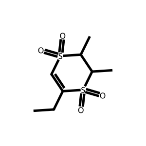 CCC1=CS(=O)(=O)C(C)C(C)S1(=O)=O